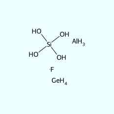 O[Si](O)(O)O.[AlH3].[F].[GeH4]